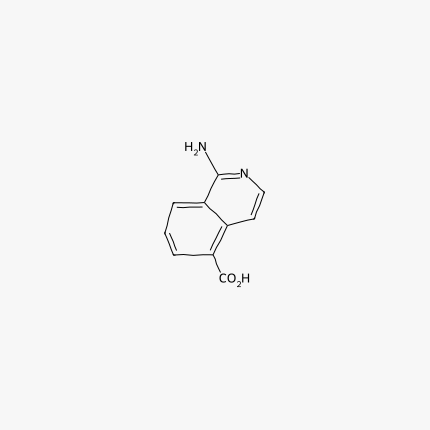 Nc1nccc2c(C(=O)O)cccc12